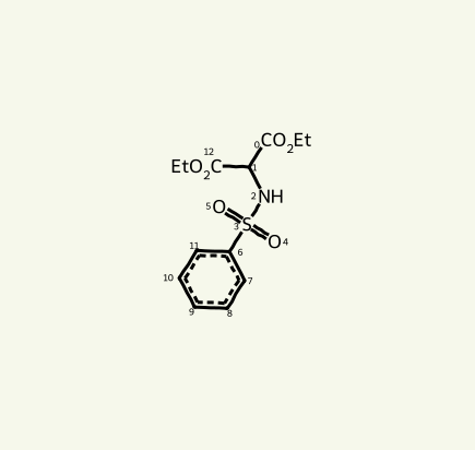 CCOC(=O)C(NS(=O)(=O)c1ccccc1)C(=O)OCC